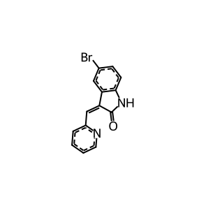 O=C1Nc2ccc(Br)cc2/C1=C/c1ccccn1